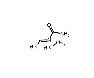 CC.CC=NC(N)=O